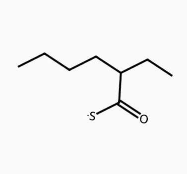 CCCCC(CC)C(=O)[S]